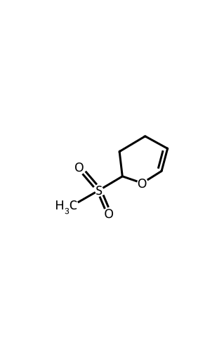 CS(=O)(=O)C1CCC=CO1